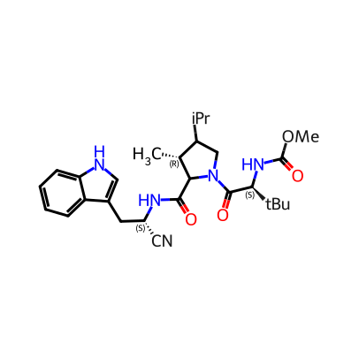 COC(=O)N[C@H](C(=O)N1CC(C(C)C)[C@@H](C)C1C(=O)N[C@H](C#N)Cc1c[nH]c2ccccc12)C(C)(C)C